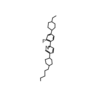 CCCCCC1CCC(c2ccc(-c3ccc(C4CCC(CC)CC4)cc3F)nc2)CC1